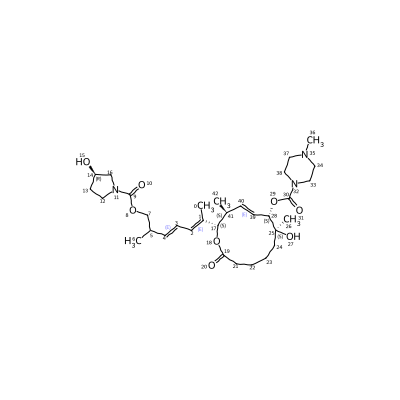 C/C(=C\C=C\C(C)COC(=O)N1CC[C@@H](O)C1)[C@H]1OC(=O)CCCC[C@](C)(O)[C@@H](OC(=O)N2CCN(C)CC2)/C=C/[C@@H]1C